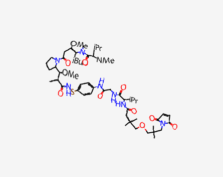 CCC(C)C(C(CC(=O)N1CCCC1C(OC)C(C)C(=O)NSc1ccc(NC(=O)CNC(=O)C(NC(=O)CC(C)(C)COCC(C)(C)CN2C(=O)C=CC2=O)C(C)C)cc1)OC)N(C)C(=O)C(NC)C(C)C